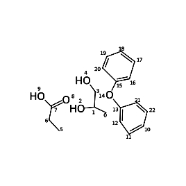 CC(O)CO.CCC(=O)O.c1ccc(Oc2ccccc2)cc1